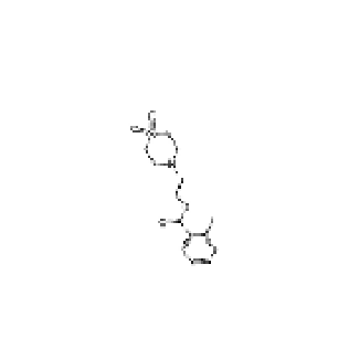 O=C(OCCN1CCS(=O)(=O)CC1)c1ccccc1I